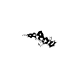 Cn1nc(-c2cccc(N3Cc4cc(C(C)(C)C)ccc4C3=O)c2CO)cc(Nc2ccccn2)c1=O